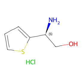 Cl.N[C@@H](CO)c1cccs1